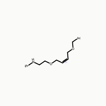 CC(=O)COC/C=C\COCCNC(C)C